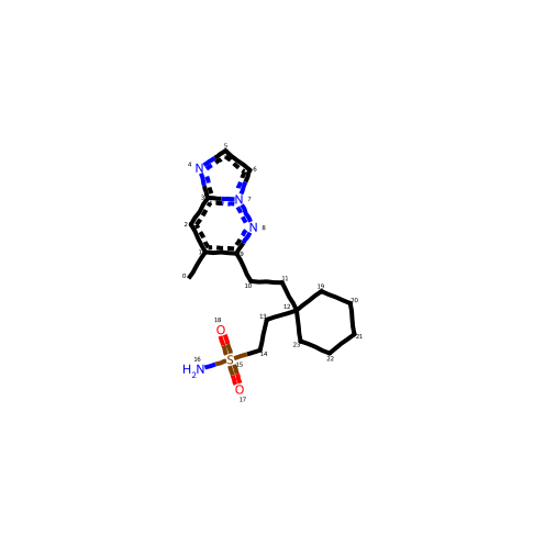 Cc1cc2nccn2nc1CCC1(CCS(N)(=O)=O)CCCCC1